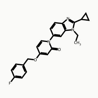 CCn1c(C2CC2)nc2ccc(-n3ccc(OCc4ccc(F)cc4)cc3=O)cc21